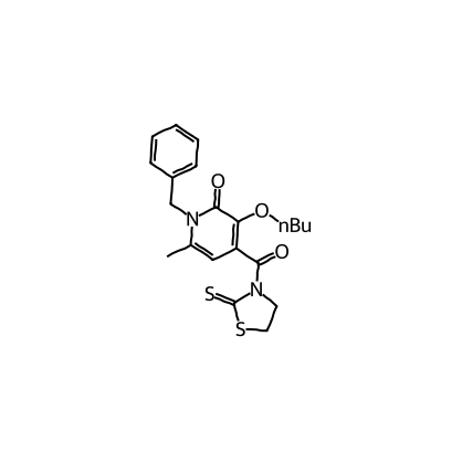 CCCCOc1c(C(=O)N2CCSC2=S)cc(C)n(Cc2ccccc2)c1=O